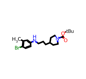 Cc1cc(NCCCC2CCN(C(=O)OC(C)(C)C)CC2)ccc1Br